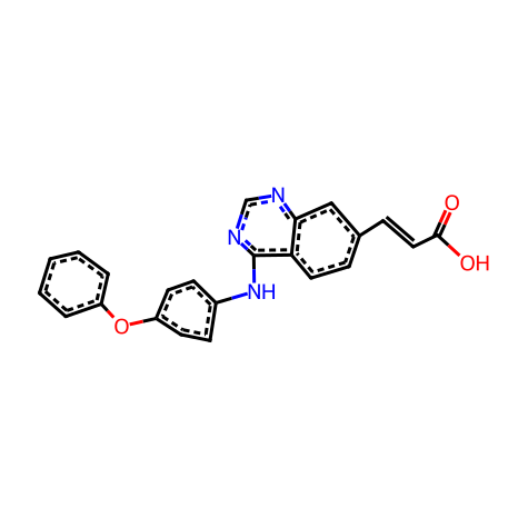 O=C(O)C=Cc1ccc2c(Nc3ccc(Oc4ccccc4)cc3)ncnc2c1